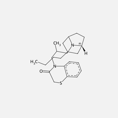 CCCCC1CC2CC[C@H](C1)N2CC(C)CN1C(=O)CSc2ccccc21